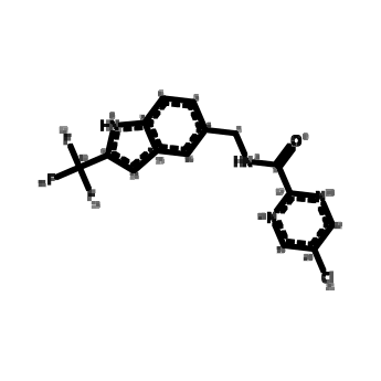 O=C(NCc1ccc2[nH]c(C(F)(F)F)cc2c1)c1ncc(Cl)cn1